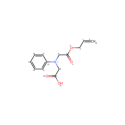 C=CCOC(=O)CN(CC(=O)O)c1ccccc1